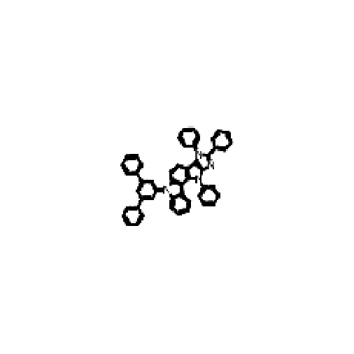 c1ccc(-c2cc(-c3ccccc3)cc(-n3c4ccccc4c4c3ccc3c5c(nc(-c6ccccc6)n5-c5ccccc5)n(-c5ccccc5)c34)c2)cc1